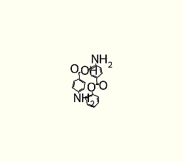 Nc1ccc(C(=O)O)cc1.Nc1ccc(C(=O)Oc2ccccc2)cc1